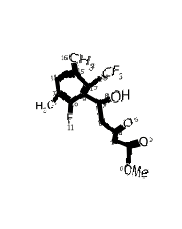 COC(=O)CC(=O)CC(O)c1c(F)c(C)cc(C)c1C(F)(F)F